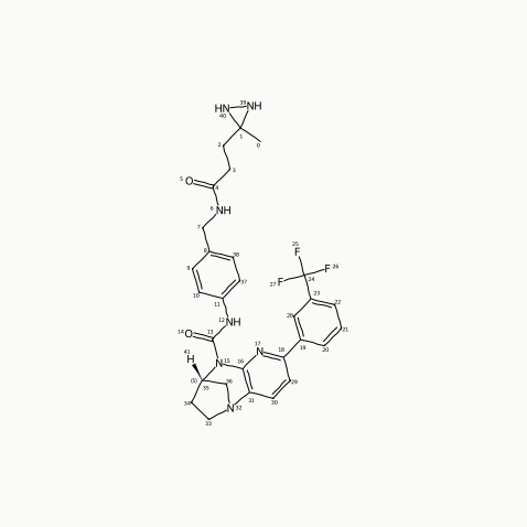 CC1(CCC(=O)NCc2ccc(NC(=O)N3c4nc(-c5cccc(C(F)(F)F)c5)ccc4N4CC[C@H]3C4)cc2)NN1